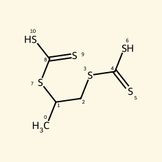 CC(CSC(=S)S)SC(=S)S